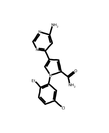 CCc1ccc(Cl)cc1-n1cc(-c2cc(N)ncn2)cc1C(N)=O